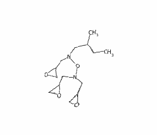 CCC(C)CN(CC1CO1)ON(CC1CO1)CC1CO1